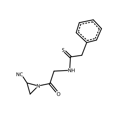 N#CC1CN1C(=O)CNC(=S)Cc1ccccc1